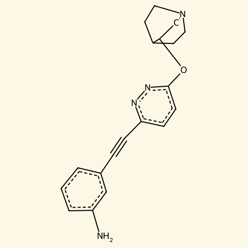 Nc1cccc(C#Cc2ccc(OC3CN4CCC3CC4)nn2)c1